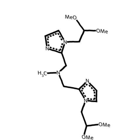 COC(Cn1ccnc1CN(C)Cc1nccn1CC(OC)OC)OC